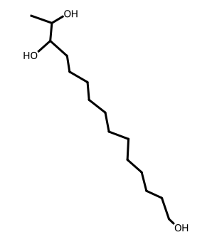 CC(O)C(O)CCCCCCCCCCCCO